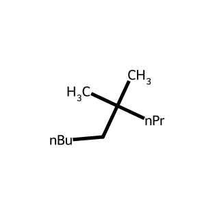 [CH2]CCC(C)(C)CCCCC